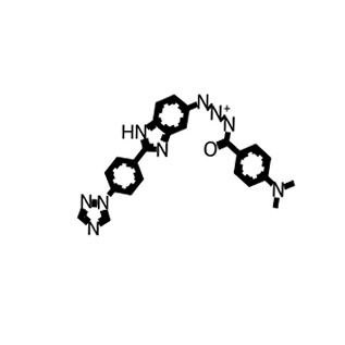 CN(C)c1ccc(C(=O)N=[N+]=Nc2ccc3[nH]c(-c4ccc(-n5cncn5)cc4)nc3c2)cc1